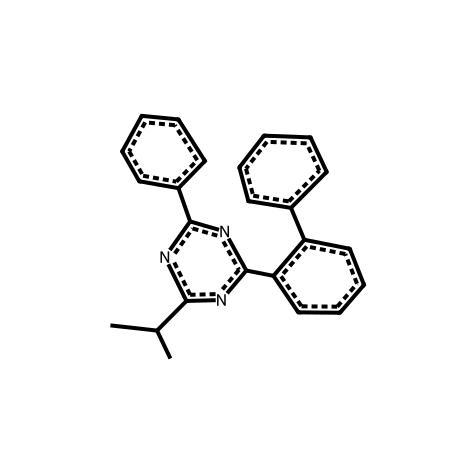 CC(C)c1nc(-c2ccccc2)nc(-c2ccccc2-c2ccccc2)n1